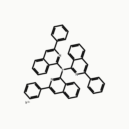 [Ir+3].c1ccc(-c2cc3ccccc3[c]([Ir]([c]3nc(-c4ccccc4)cc4ccccc34)[c]3nc(-c4ccccc4)cc4ccccc34)n2)cc1